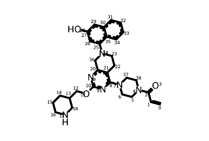 C=CC(=O)N1CCN(c2nc(OCC3CCCNC3)nc3c2CCN(c2cc(O)cc4ccccc24)C3)CC1